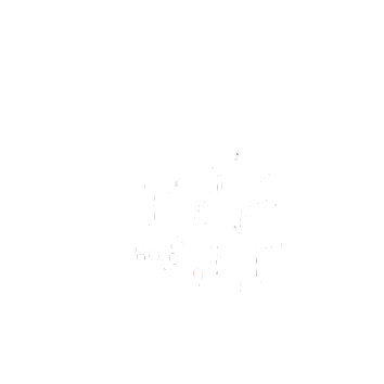 Cc1ccc(OC(=O)O)c(-c2ccccc2)c1-c1ccccc1